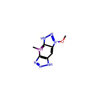 CO[n+]1n[nH]c2c1=Cc1[nH]nnc1[PH]=2C